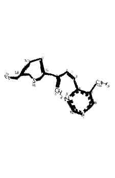 C=C(/C=C\c1ncncc1C)C1=CCC(CC)S1